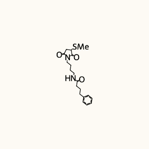 CSC1CC(=O)N(CCCCNC(=O)CCCc2ccccc2)C1=O